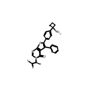 NC1(c2ccc(-c3oc4ncn(C(F)C(F)F)c(=O)c4c3-c3ccccc3)cc2)CCC1